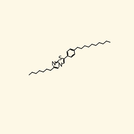 CCCCCCCCCCc1ccc(-c2cn3cc(CCCCCCC)nc3s2)cc1